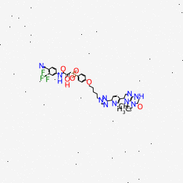 CCN1C(=O)CNc2ncc(-c3ccc(-c4ncn(CCCCCOc5ccc(S(=O)(=O)C[C@H](O)C(=O)Nc6ccc(C#N)c(C(F)(F)F)c6)cc5)n4)nc3C)nc21